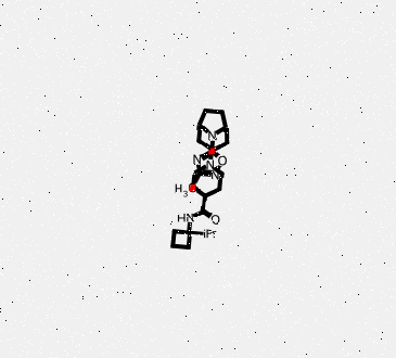 Cc1noc(N2C3CCC2CC(N2CCC(C(=O)NC4(C(C)C)CCC4)CC2)C3)n1